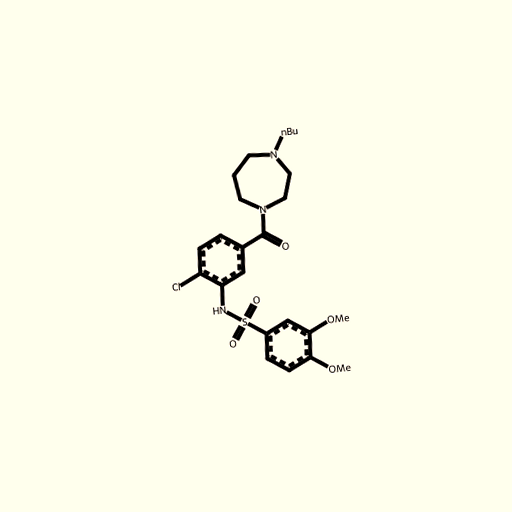 CCCCN1CCCN(C(=O)c2ccc(Cl)c(NS(=O)(=O)c3ccc(OC)c(OC)c3)c2)CC1